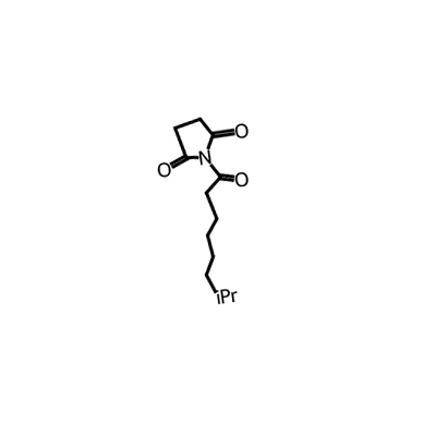 CC(C)CCCCCC(=O)N1C(=O)CCC1=O